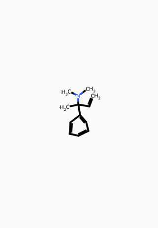 [CH2]C(C=C)(c1ccccc1)N(C)C